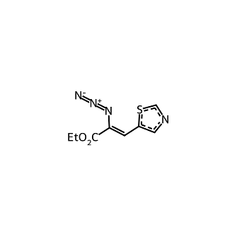 CCOC(=O)C(=Cc1cncs1)N=[N+]=[N-]